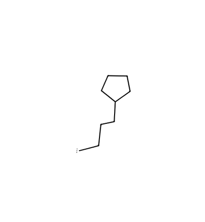 [C]CCCC1CCCC1